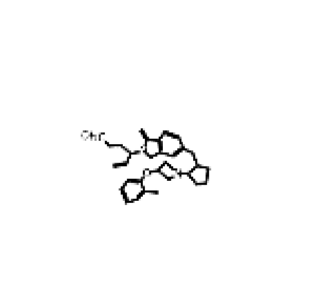 C=CC(CCC=O)N1Cc2cc(CC3CCCC3N3CC(Oc4ccccc4C)C3)ccc2C1=C